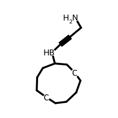 NCC#CBC1CCCCCCCCCC1